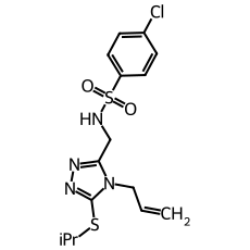 C=CCn1c(CNS(=O)(=O)c2ccc(Cl)cc2)nnc1SC(C)C